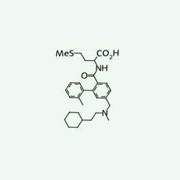 CSCCC(NC(=O)c1ccc(CN(C)CCC2CCCCC2)cc1-c1ccccc1C)C(=O)O